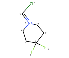 FC1(F)CC[N+](=CCl)CC1